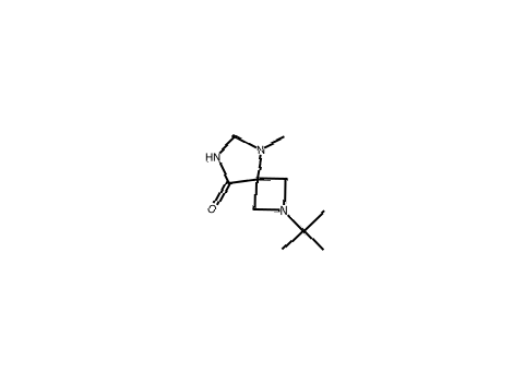 CN1CNC(=O)C12CN(C(C)(C)C)C2